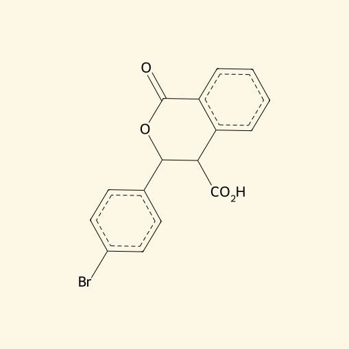 O=C1OC(c2ccc(Br)cc2)C(C(=O)O)c2ccccc21